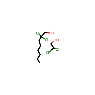 CCCCCCC(Cl)(Cl)CO.OCC(Cl)Cl